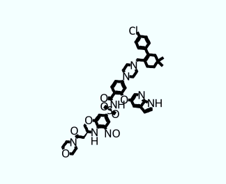 CC1(C)CCC(CN2CCN(c3ccc(C(=O)NS(=O)(=O)c4cc(N=O)c5c(c4)OC[C@H](CC(=O)N4CCOCC4)N5)c(Oc4cnc5[nH]ccc5c4)c3)CC2)=C(c2ccc(Cl)cc2)C1